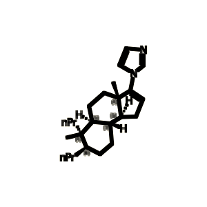 CCC[C@@H]1CC[C@@H]2[C@H](CC[C@]3(C)C(n4ccnc4)=CC[C@@H]23)[C@@]1(C)CCC